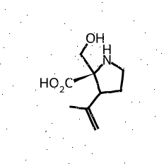 C=C(C)C1CCN[C@]1(CO)C(=O)O